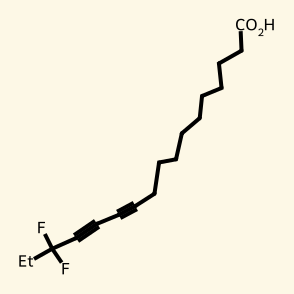 CCC(F)(F)C#CC#CCCCCCCCCCC(=O)O